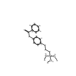 C=C(Cc1ccc(CCC[Si](OC)(OC)OC)cc1)c1ccccc1